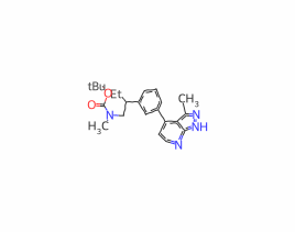 CCC(CN(C)C(=O)OC(C)(C)C)c1cccc(-c2ccnc3[nH]nc(C)c23)c1